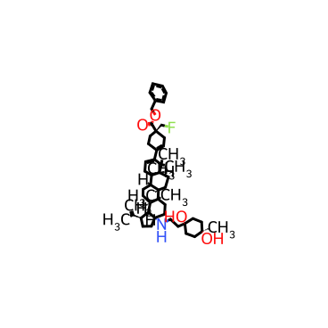 C=C(C)[C@@H]1CC[C@]2(NCC[C@]3(O)CC[C@](C)(O)CC3)CC[C@]3(C)[C@H](CC[C@@H]4[C@@]5(C)CC=C(C6=CC[C@@](CF)(C(=O)OCc7ccccc7)CC6)C(C)(C)[C@@H]5CC[C@]43C)[C@@H]12